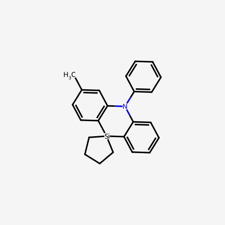 Cc1ccc2c(c1)N(c1ccccc1)c1ccccc1[Si]21CCCC1